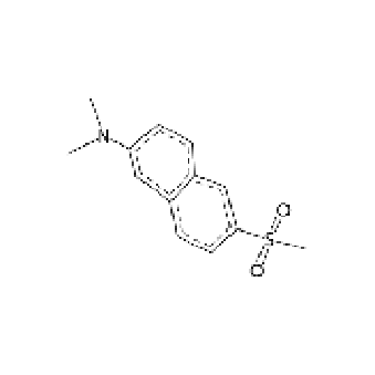 CN(C)c1ccc2cc(S(C)(=O)=O)ccc2c1